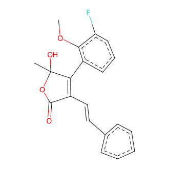 COc1c(F)cccc1C1=C(C=Cc2ccccc2)C(=O)OC1(C)O